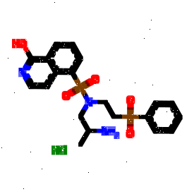 CC(N)CN(CCS(=O)(=O)c1ccccc1)S(=O)(=O)c1cccc2c(O)nccc12.Cl